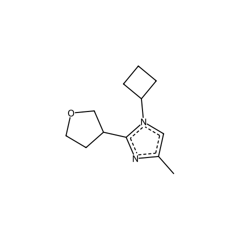 Cc1cn(C2CCC2)c(C2CCOC2)n1